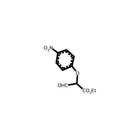 CCOC(=O)C(C=O)Oc1ccc([N+](=O)[O-])cc1